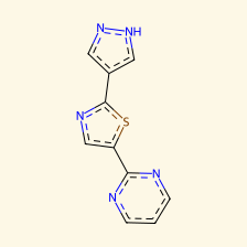 c1cnc(-c2cnc(-c3cn[nH]c3)s2)nc1